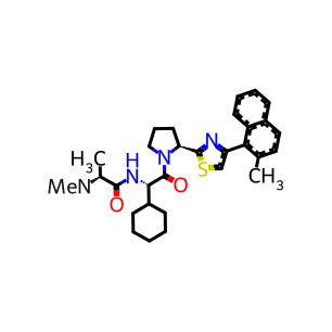 CN[C@@H](C)C(=O)N[C@H](C(=O)N1CCC[C@H]1c1nc(-c2c(C)ccc3ccccc23)cs1)C1CCCCC1